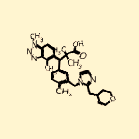 Cc1ccc(C(c2ccc3c(nnn3C)c2C)C(C)(C)C(=O)O)cc1Cn1ccnc1CC1CCOCC1